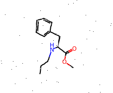 CCCN[C@@H](Cc1ccccc1)C(=O)OC